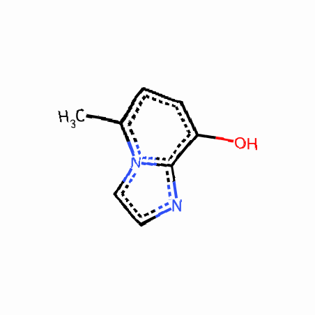 Cc1ccc(O)c2nccn12